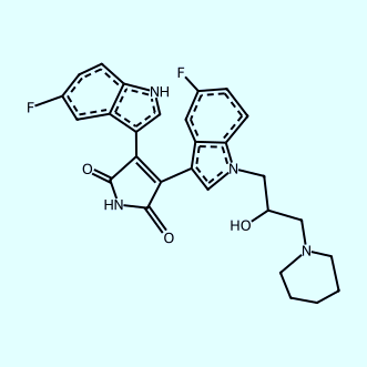 O=C1NC(=O)C(c2cn(CC(O)CN3CCCCC3)c3ccc(F)cc23)=C1c1c[nH]c2ccc(F)cc12